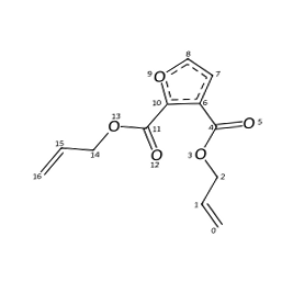 C=CCOC(=O)c1ccoc1C(=O)OCC=C